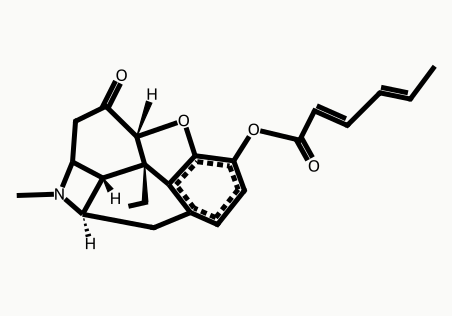 C/C=C/C=C/C(=O)Oc1ccc2c3c1O[C@H]1C(=O)CC4[C@@H]([C@@H](C2)N4C)[C@@]31CC